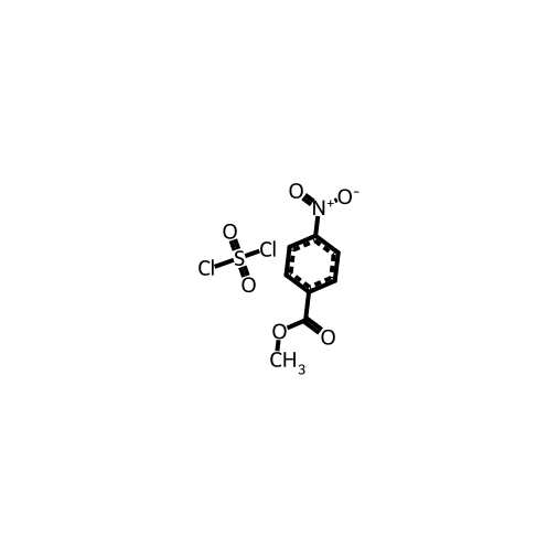 COC(=O)c1ccc([N+](=O)[O-])cc1.O=S(=O)(Cl)Cl